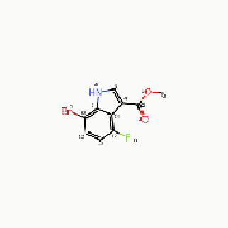 COC(=O)c1c[nH]c2c(Br)ccc(F)c12